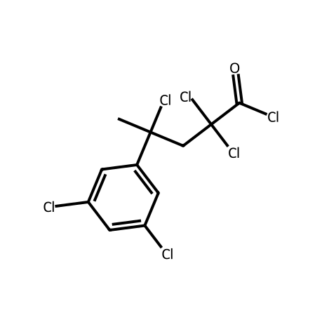 CC(Cl)(CC(Cl)(Cl)C(=O)Cl)c1cc(Cl)cc(Cl)c1